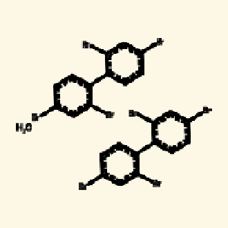 Brc1ccc(-c2ccc(Br)cc2Br)c(Br)c1.Brc1ccc(-c2ccc(Br)cc2Br)c(Br)c1.O